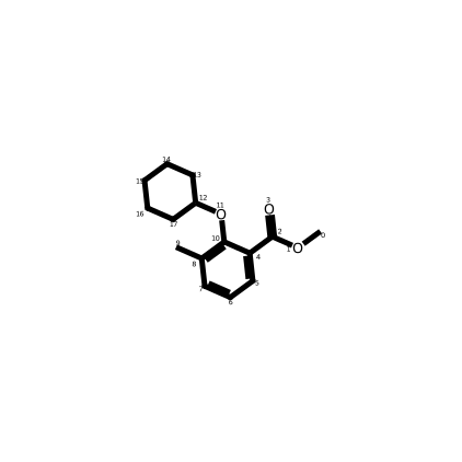 COC(=O)c1cccc(C)c1OC1CCCCC1